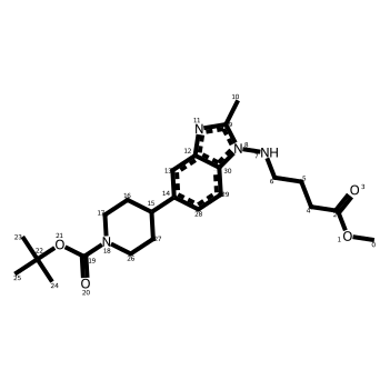 COC(=O)CCCNn1c(C)nc2cc(C3CCN(C(=O)OC(C)(C)C)CC3)ccc21